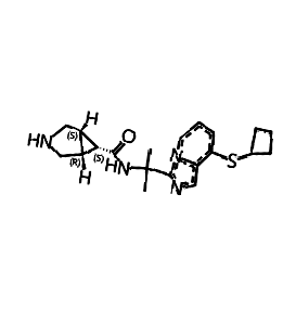 CC(C)(NC(=O)[C@@H]1[C@@H]2CNC[C@@H]21)c1ncc2c(SC3CCC3)cccn12